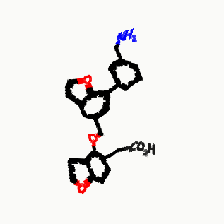 NCc1cccc(-c2cc(COc3c(CC(=O)O)ccc4occc34)cc3ccoc23)c1